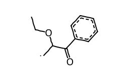 [CH2]C(OCC)C(=O)c1ccccc1